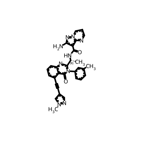 Cc1cccc(-n2c([C@@H](C)NC(=O)c3c(N)nn4cccnc34)nc3cccc(C#Cc4cnn(C)c4)c3c2=O)c1